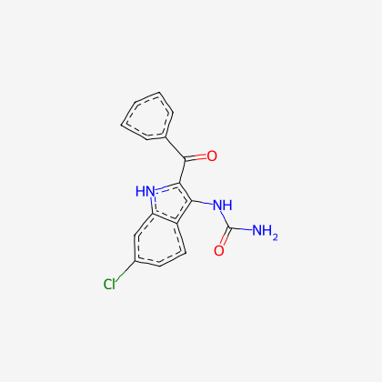 NC(=O)Nc1c(C(=O)c2ccccc2)[nH]c2cc(Cl)ccc12